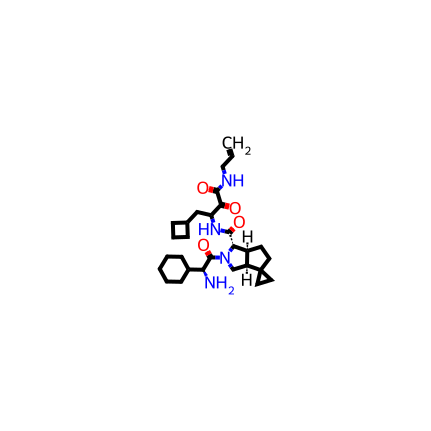 C=CCNC(=O)C(=O)C(CC1CCC1)NC(=O)[C@@H]1[C@H]2CCC3(CC3)[C@H]2CN1C(=O)[C@@H](N)C1CCCCC1